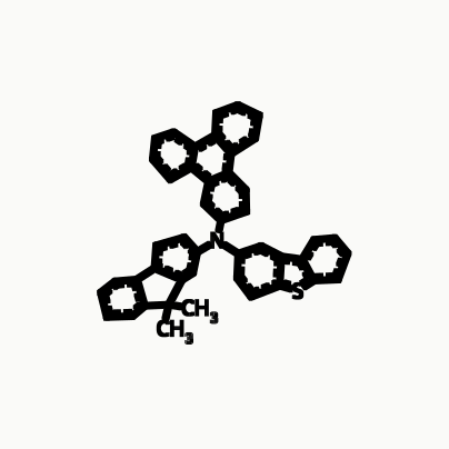 CC1(C)c2ccccc2-c2ccc(N(c3ccc4sc5ccccc5c4c3)c3ccc4c5ccccc5c5ccccc5c4c3)cc21